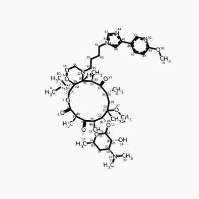 CC[C@H]1OC(=O)[C@H](C)C(=O)[C@H](C)[C@@H](OC2O[C@H](C)C[C@H](N(C)C)[C@H]2O)[C@@](C)(OC)C[C@@H](C)C(=O)[C@H](C)[C@H]2N(CCCCn3cnc(-c4ccc(OC)nc4)c3)COO[C@]12CC